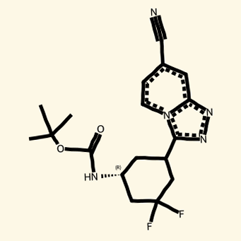 CC(C)(C)OC(=O)N[C@@H]1CC(c2nnc3cc(C#N)ccn23)CC(F)(F)C1